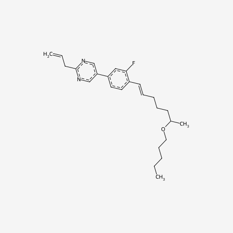 C=CCc1ncc(-c2ccc(/C=C/CCCC(C)OCCCCC)c(F)c2)cn1